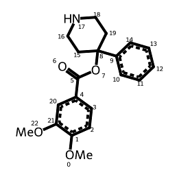 COc1ccc(C(=O)OC2(c3ccccc3)CCNCC2)cc1OC